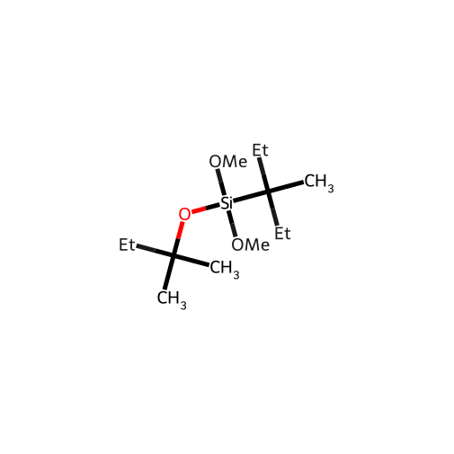 CCC(C)(C)O[Si](OC)(OC)C(C)(CC)CC